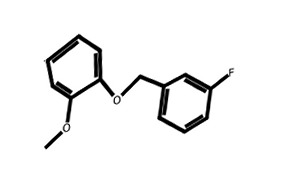 COc1c[c]ccc1OCc1cccc(F)c1